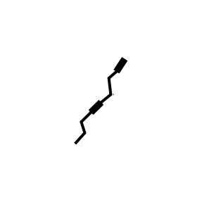 C#CC[CH]C#CCCC